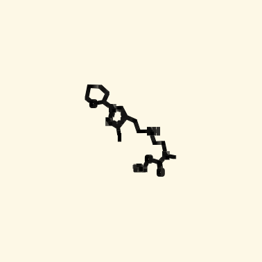 CN(CCNCCc1cn(C2CCCCO2)nc1I)C(=O)OC(C)(C)C